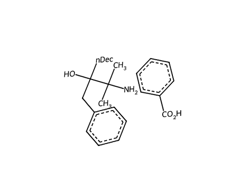 CCCCCCCCCCC(O)(Cc1ccccc1)C(C)(C)N.O=C(O)c1ccccc1